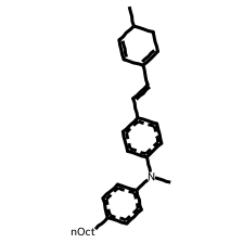 CCCCCCCCc1ccc(N(C)c2ccc(/C=C/C3=CCC(C)C=C3)cc2)cc1